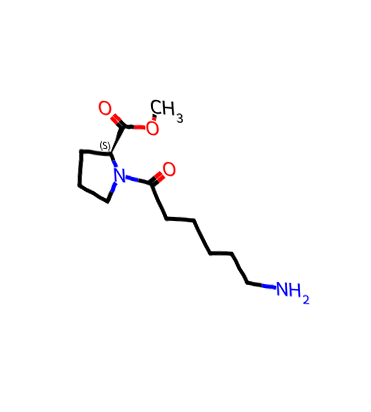 COC(=O)[C@@H]1CCCN1C(=O)CCCCCN